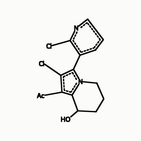 CC(=O)c1c(Cl)c(-c2cccnc2Cl)n2c1C(O)CCC2